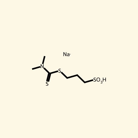 CN(C)C(=S)SCCCS(=O)(=O)O.[Na]